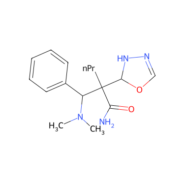 CCCC(C(N)=O)(C1NN=CO1)C(c1ccccc1)N(C)C